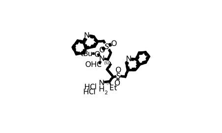 CC[C@H](N)C(CC[C@@H](CS(=O)(=O)Cc1cnc2ccccc2c1)N(C=O)OC(C)(C)C)S(=O)(=O)Cc1cnc2ccccc2c1.Cl.Cl